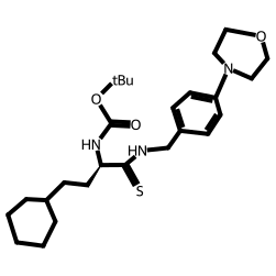 CC(C)(C)OC(=O)N[C@H](CCC1CCCCC1)C(=S)NCc1ccc(N2CCOCC2)cc1